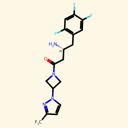 N[C@@H](CC(=O)N1CC(n2ccc(C(F)(F)F)n2)C1)Cc1cc(F)c(F)cc1F